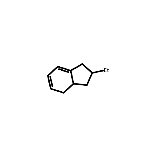 CCC1CC2=CC=CCC2C1